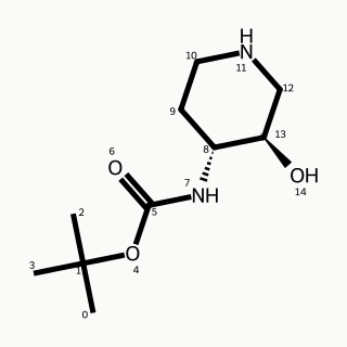 CC(C)(C)OC(=O)N[C@@H]1CCNC[C@H]1O